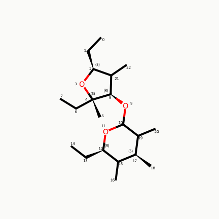 CC[C@@H]1O[C@@](C)(CC)[C@H](OC2O[C@H](CC)C(C)[C@H](C)C2C)C1C